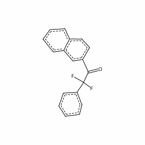 O=C(c1ccc2ccccc2c1)C(F)(F)c1ccccc1